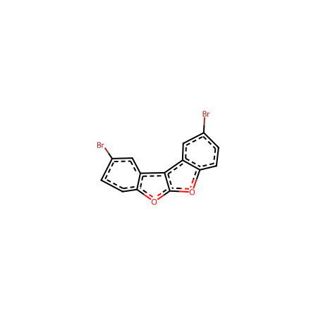 Brc1ccc2oc3oc4ccc(Br)cc4c3c2c1